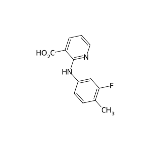 Cc1ccc(Nc2ncccc2C(=O)O)cc1F